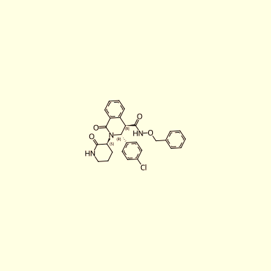 O=C(NOCc1ccccc1)[C@@H]1c2ccccc2C(=O)N([C@H]2CCCNC2=O)[C@H]1c1ccc(Cl)cc1